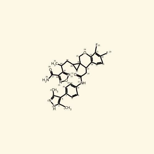 Cc1n[nH]c(C)c1-c1ccc(NC(=O)CC2c3ccc(F)c(F)c3OCC23CC3CC(C)c2nonc2C(N)=O)cc1